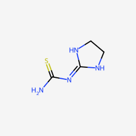 NC(=S)N=C1NCCN1